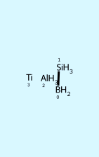 B[SiH3].[AlH3].[Ti]